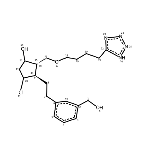 OCc1cccc(CC[C@H]2C(Cl)CC(O)[C@@H]2COCCCCc2nnn[nH]2)c1